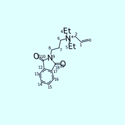 C=CC[N+](CC)(CC)CCCN1C(=O)c2ccccc2C1=O